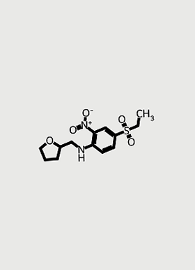 CCS(=O)(=O)c1ccc(NCC2CCCO2)c([N+](=O)[O-])c1